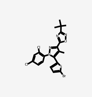 Cc1c(-c2nc(C(C)(C)C)no2)nn(-c2ccc(Cl)cc2Cl)c1-c1ccc(Br)s1